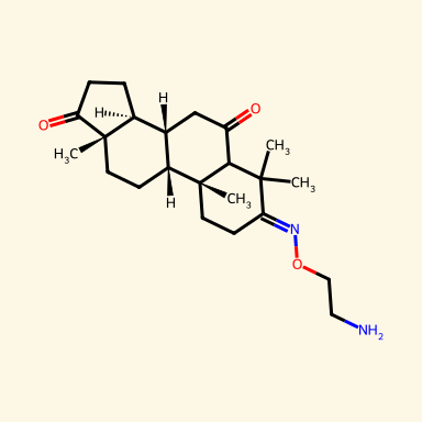 CC1(C)C(=NOCCN)CC[C@@]2(C)C1C(=O)C[C@@H]1[C@H]2CC[C@]2(C)C(=O)CC[C@@H]12